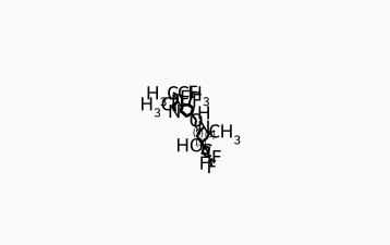 Cc1nc2cc(OC[C@@H]3C[C@](O)(C45CC(C(F)(F)F)(C4)C5)C[C@H](C)N3)cc(C(F)(F)F)c2n1C(C)C